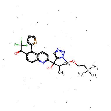 CC(C)C(O)(c1ccc2c(-c3cccs3)c(C(=O)C(F)(F)F)ccc2n1)c1cnnn1COCC[Si](C)(C)C